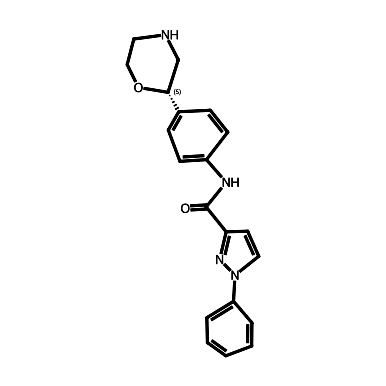 O=C(Nc1ccc([C@H]2CNCCO2)cc1)c1ccn(-c2ccccc2)n1